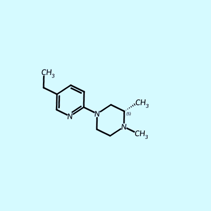 CCc1ccc(N2CCN(C)[C@@H](C)C2)nc1